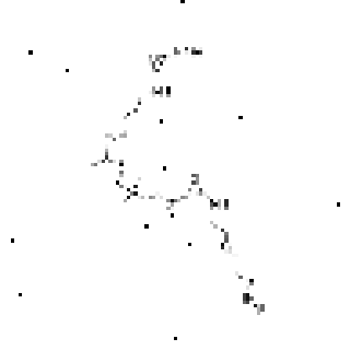 CNC1OC1NCCCCOC(C)SSC(C)(C)CCOC1OC1NCCOCCONC(C)C